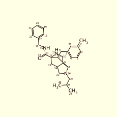 Cc1cccc(CC2C3C4CNC2(C(=O)NCc2ccccc2)CC4CN3CC(C)C)c1